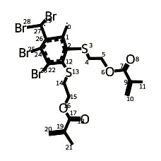 [CH2]c1c(SCCOC(=O)C(=C)C)c(SCCOC(=O)C(=C)C)c(Br)c(Br)c1[C](Br)Br